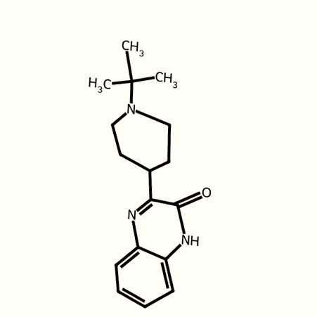 CC(C)(C)N1CCC(c2nc3ccccc3[nH]c2=O)CC1